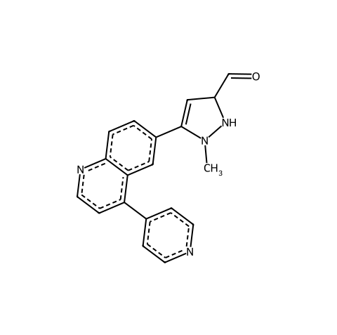 CN1NC(C=O)C=C1c1ccc2nccc(-c3ccncc3)c2c1